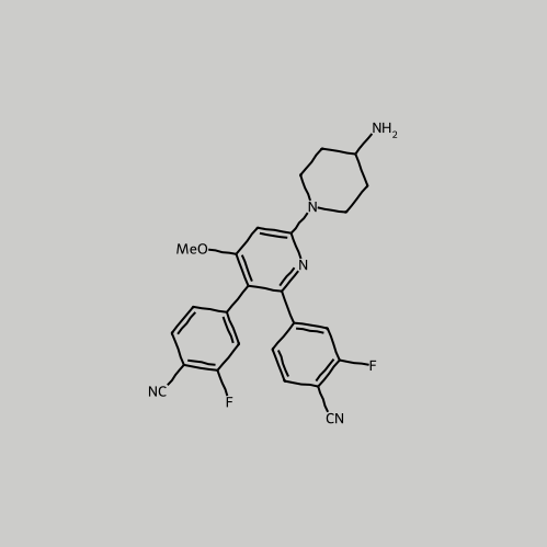 COc1cc(N2CCC(N)CC2)nc(-c2ccc(C#N)c(F)c2)c1-c1ccc(C#N)c(F)c1